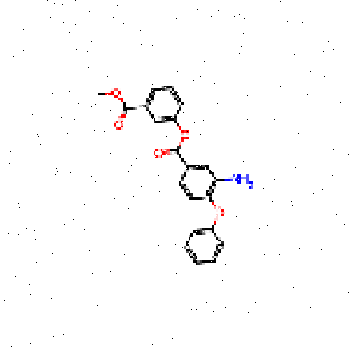 COC(=O)c1cccc(OC(=O)c2ccc(Oc3ccccc3)c(N)c2)c1